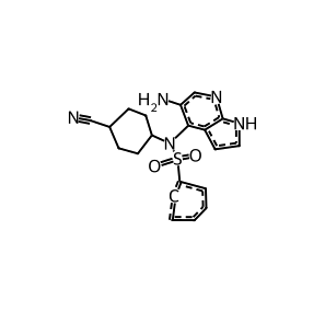 N#CC1CCC(N(c2c(N)cnc3[nH]ccc23)S(=O)(=O)c2ccccc2)CC1